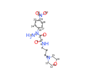 NN(C(=O)C(=O)NCCCN1CCOCC1)c1ccc([N+](=O)[O-])cc1